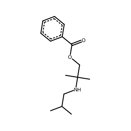 CC(C)CNC(C)(C)COC(=O)c1ccccc1